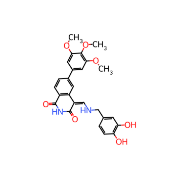 COc1cc(-c2ccc3c(c2)C(=CNCc2ccc(O)c(O)c2)C(=O)NC3=O)cc(OC)c1OC